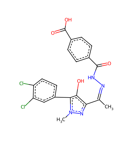 CC(=NNC(=O)c1ccc(C(=O)O)cc1)c1nn(C)c(-c2ccc(Cl)c(Cl)c2)c1O